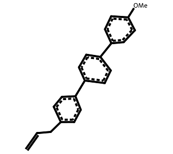 C=CCc1ccc(-c2ccc(-c3ccc(OC)cc3)cc2)cc1